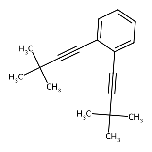 CC(C)(C)C#Cc1ccccc1C#CC(C)(C)C